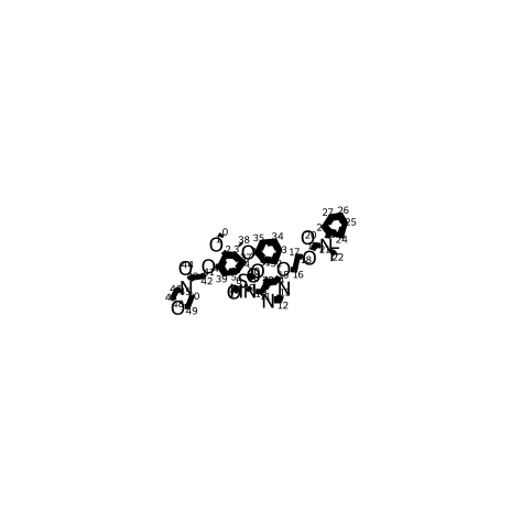 COc1ccc(S(=O)(=O)Nc2ncnc(OCCOC(=O)N(F)c3ccccc3)c2Oc2ccccc2OC)cc1OCC(=O)N1CCOCC1